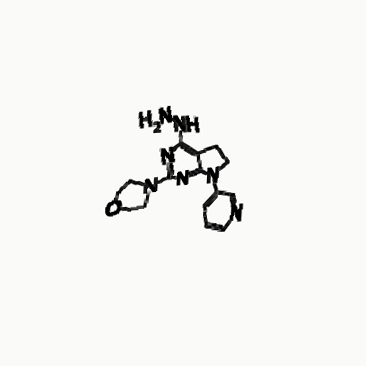 NNc1nc(N2CCOCC2)nc2c1CCN2c1cccnc1